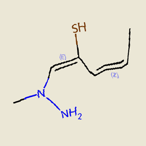 C/C=C\C(S)=C/N(C)N